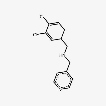 ClC1=CCC(CNCc2ccncc2)C=C1Cl